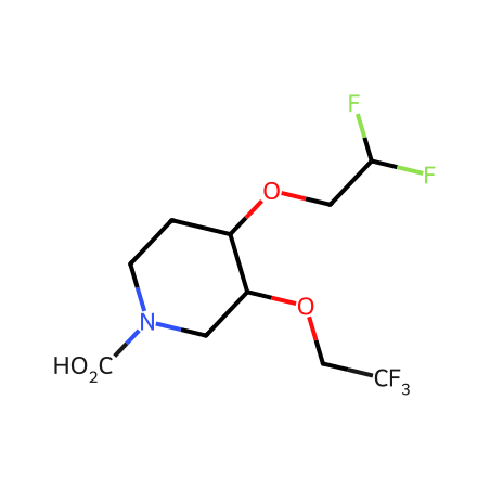 O=C(O)N1CCC(OCC(F)F)C(OCC(F)(F)F)C1